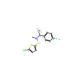 CN(Sc1ccc(Cl)s1)C(c1ccc(F)cc1)C(F)(F)F